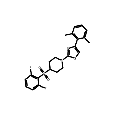 Cc1cccc(C)c1-c1csc(N2CCC(S(=O)(=O)c3c(F)cccc3F)CC2)n1